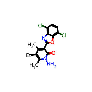 CCc1c(C)c(-c2nc3c(Cl)ccc(Cl)c3o2)c(=O)n(N)c1C